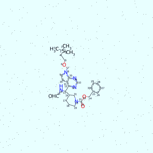 C[Si](C)(C)CCOCn1ccc2c(C(NC=O)C3CCCN(C(=O)OCc4ccccc4)C3)ncnc21